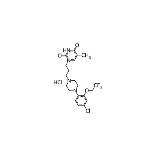 Cc1cn(CCCN2CCN(c3ccc(Cl)cc3OCC(F)(F)F)CC2)c(=O)[nH]c1=O.Cl